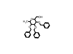 CC1OC(CO)C(OCc2ccccc2)C(OCc2ccccc2)C1OCc1ccccc1